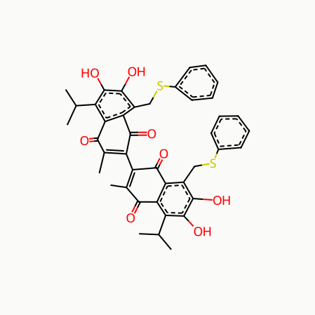 CC1=C(C2=C(C)C(=O)c3c(c(CSc4ccccc4)c(O)c(O)c3C(C)C)C2=O)C(=O)c2c(CSc3ccccc3)c(O)c(O)c(C(C)C)c2C1=O